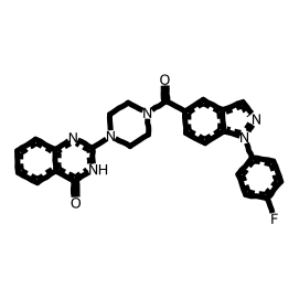 O=C(c1ccc2c(cnn2-c2ccc(F)cc2)c1)N1CCN(c2nc3ccccc3c(=O)[nH]2)CC1